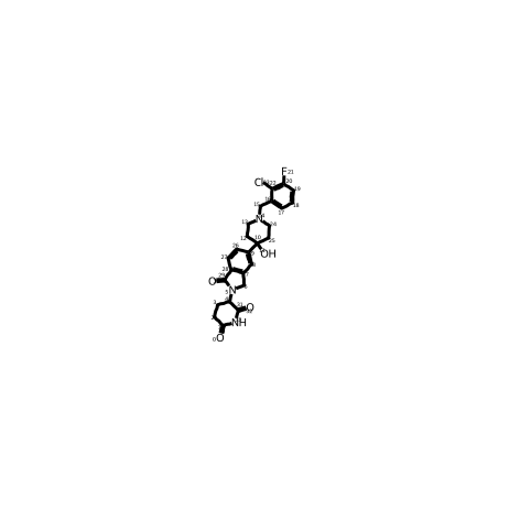 O=C1CCC(N2Cc3cc(C4(O)CCN(Cc5cccc(F)c5Cl)CC4)ccc3C2=O)C(=O)N1